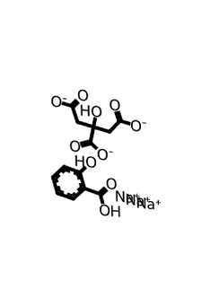 O=C(O)c1ccccc1O.O=C([O-])CC(O)(CC(=O)[O-])C(=O)[O-].[Na+].[Na+].[Na+]